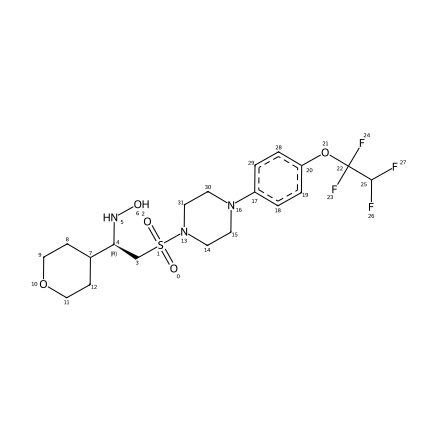 O=S(=O)(C[C@H](NO)C1CCOCC1)N1CCN(c2ccc(OC(F)(F)C(F)F)cc2)CC1